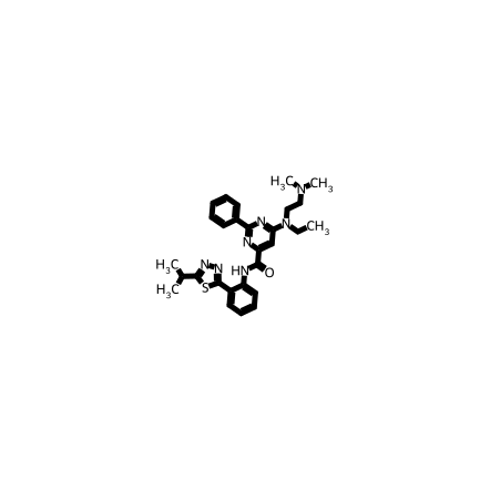 CCN(CCN(C)C)c1cc(C(=O)Nc2ccccc2-c2nnc(C(C)C)s2)nc(-c2ccccc2)n1